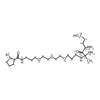 CC(=O)N1CCCC1C(=O)NCCCOCCOCCOCCCNC(C)(N)C(=O)C(N)CCC(=O)O